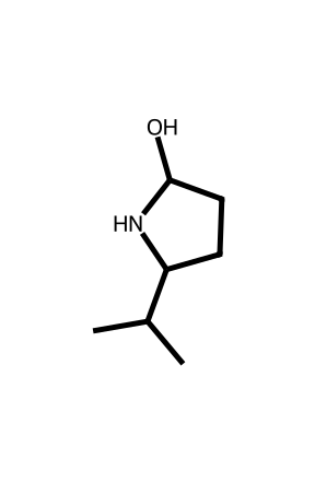 CC(C)C1CCC(O)N1